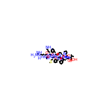 CSCC[C@H](NC(=O)[C@H](CCCCN)NC(=O)[C@H](CCCNC(=N)N)NC(C)=O)C(=O)N[C@H](Cc1ccccc1)C(=O)N[C@@H](Cc1ccccc1)C(=O)N1CCC[C@H]1C(=O)N1CCC[C@H]1C(=O)N[C@H](Cc1c[nH]c2ccccc12)C(=O)N[C@H](C(=O)O)C(C)C